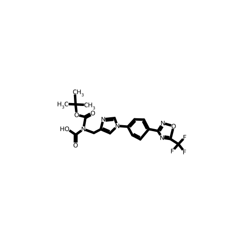 CC(C)(C)OC(=O)N(Cc1cn(-c2ccc(-c3noc(C(F)(F)F)n3)cc2)cn1)C(=O)O